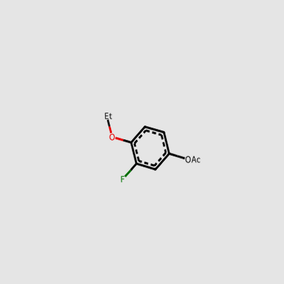 CCOc1ccc(OC(C)=O)cc1F